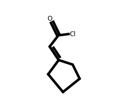 O=C(Cl)C=C1CCCC1